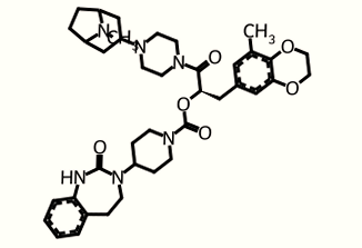 Cc1cc(C[C@@H](OC(=O)N2CCC(N3CCc4ccccc4NC3=O)CC2)C(=O)N2CCN(C3CC4CCC(C3)N4C)CC2)cc2c1OCCO2